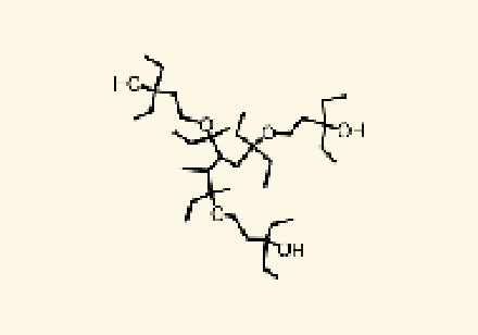 CCC(O)(CC)CCOC(CC)(CC)CC(C(C)C(C)(CC)OCCC(O)(CC)CC)C(C)(CC)OCCC(O)(CC)CC